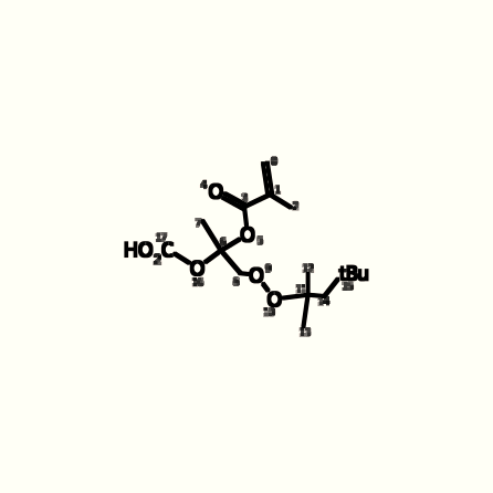 C=C(C)C(=O)OC(C)(COOC(C)(C)CC(C)(C)C)OC(=O)O